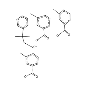 CC(C)([CH2][Sn+3])c1ccccc1.Cc1cccc(C(=O)[O-])c1.Cc1cccc(C(=O)[O-])c1.Cc1cccc(C(=O)[O-])c1